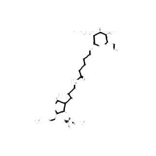 B[C@@H]1O[C@H](COC)[C@H](OP(=O)(O)OC)C1CCCNC(=O)CCCCO[C@@H]1O[C@H](CO)[C@H](O)[C@H](O)[C@H]1NC(C)=O